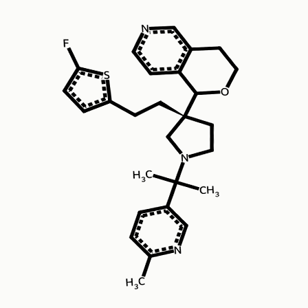 Cc1ccc(C(C)(C)N2CC[C@@](CCc3ccc(F)s3)(C3OCCc4cnccc43)C2)cn1